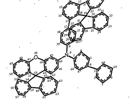 c1ccc(-c2ccc(N(c3ccc(-c4cccc5c4C4(c6ccccc6-c6ccccc64)c4ccccc4-5)cc3)c3ccc4c(c3)Oc3ccccc3C43c4ccccc4-c4ccccc43)cc2)cc1